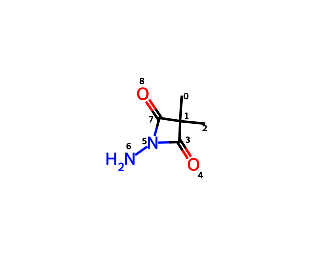 CC1(C)C(=O)N(N)C1=O